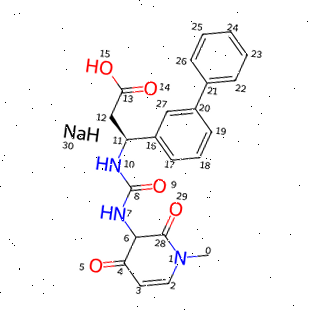 CN1C=CC(=O)C(NC(=O)N[C@@H](CC(=O)O)c2cccc(-c3ccccc3)c2)C1=O.[NaH]